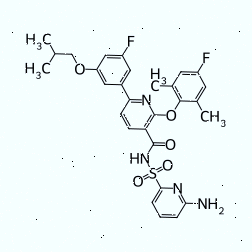 Cc1cc(F)cc(C)c1Oc1nc(-c2cc(F)cc(OCC(C)C)c2)ccc1C(=O)NS(=O)(=O)c1cccc(N)n1